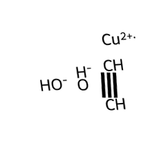 C#C.[Cu+2].[OH-].[OH-]